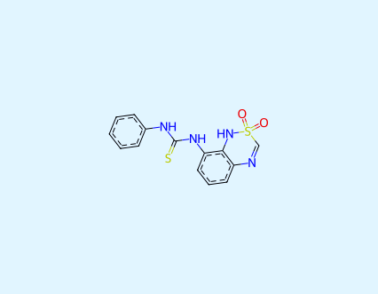 O=S1(=O)C=Nc2cccc(NC(=S)Nc3ccccc3)c2N1